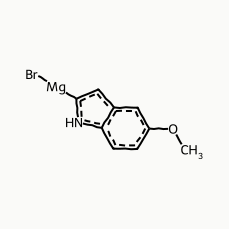 COc1ccc2[nH][c]([Mg][Br])cc2c1